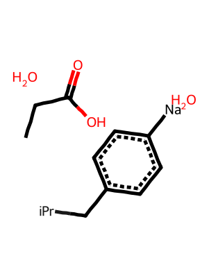 CC(C)Cc1cc[c]([Na])cc1.CCC(=O)O.O.O